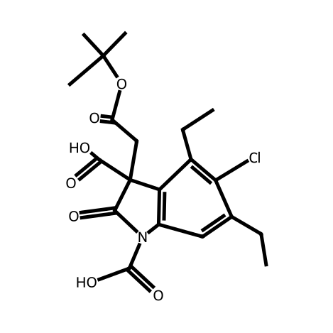 CCc1cc2c(c(CC)c1Cl)C(CC(=O)OC(C)(C)C)(C(=O)O)C(=O)N2C(=O)O